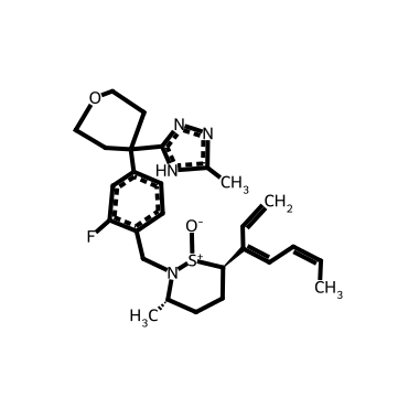 C=C/C(=C\C=C/C)[C@H]1CC[C@H](C)N(Cc2ccc(C3(c4nnc(C)[nH]4)CCOCC3)cc2F)[S+]1[O-]